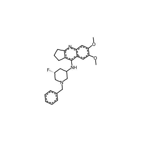 COc1cc2nc3c(c(NC4C[C@@H](F)CN(Cc5ccccc5)C4)c2cc1OC)CCC3